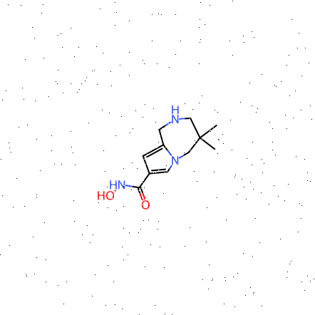 CC1(C)CNCc2cc(C(=O)NO)cn2C1